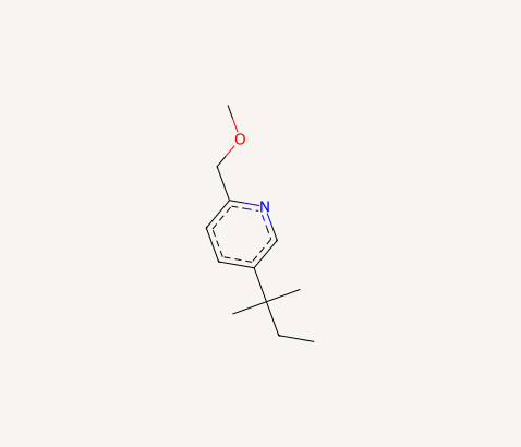 CCC(C)(C)c1ccc(COC)nc1